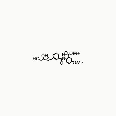 COC(=O)c1cc(OC)ccc1NC(=O)c1cccc(CSCC(O)CO)c1